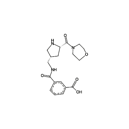 O=C(O)c1cccc(C(=O)NC[C@@H]2CN[C@H](C(=O)N3CCOCC3)C2)c1